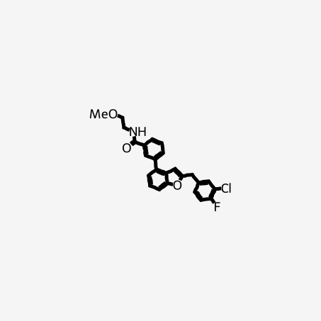 COCCNC(=O)c1cccc(-c2cccc3oc(Cc4ccc(F)c(Cl)c4)cc23)c1